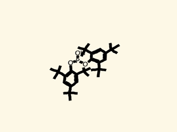 CC(C)(C)c1cc(C(C)(C)C)c(OP(O)Oc2c(C(C)(C)C)cc(C(C)(C)C)cc2C(C)(C)C)c(C(C)(C)C)c1